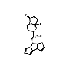 O=C1CC[C@@H]2C[C@H]([C@@H](O)C[C@H]3c4sccc4-c4cncn43)CCN12